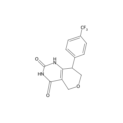 O=c1[nH]c2c(c(=O)[nH]1)COCC2c1ccc(C(F)(F)F)cc1